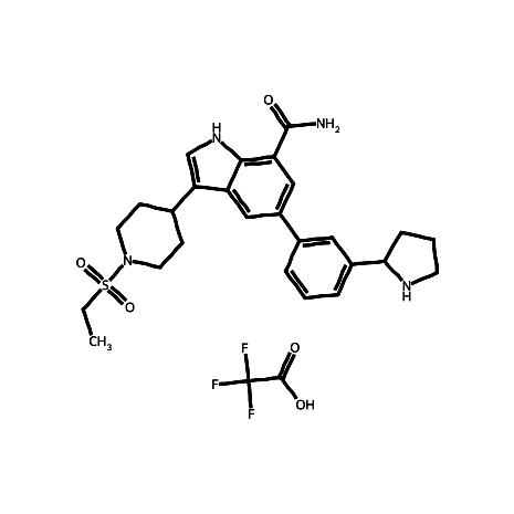 CCS(=O)(=O)N1CCC(c2c[nH]c3c(C(N)=O)cc(-c4cccc(C5CCCN5)c4)cc23)CC1.O=C(O)C(F)(F)F